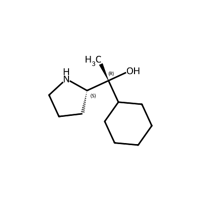 C[C@@](O)(C1CCCCC1)[C@@H]1CCCN1